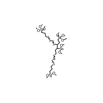 CO[Si](C)(CCCSSSSCCC(C(CC[Si](OC)(OC)OC)SSSSCCC[Si](OC)(OC)OC)[Si](C)(OC)OC)OC